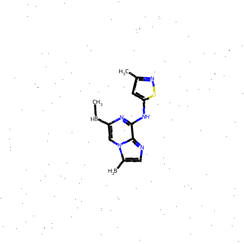 Bc1cnc2c(Nc3cc(C)ns3)nc(BC)cn12